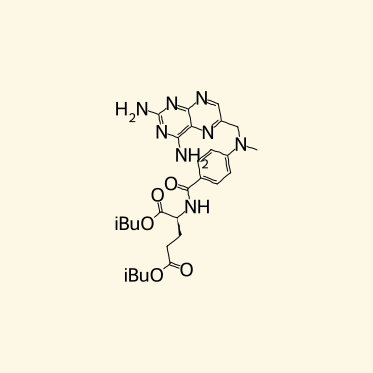 CC(C)COC(=O)CC[C@H](NC(=O)c1ccc(N(C)Cc2cnc3nc(N)nc(N)c3n2)cc1)C(=O)OCC(C)C